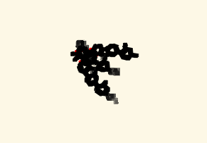 Cc1cc(C)cc(-c2c(-n3c4cc(-c5ccc(C(F)(F)F)cc5C)ccc4c4ccc(-c5ccc(C(F)(F)F)cc5C)cc43)cc(C#N)cc2-n2c3cc(-c4ccc(C)cc4C)ccc3c3ccc(-c4ccc(C)cc4C(F)(F)F)cc32)c1